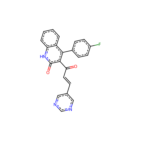 O=C(/C=C/c1cncnc1)c1c(-c2ccc(F)cc2)c2ccccc2[nH]c1=O